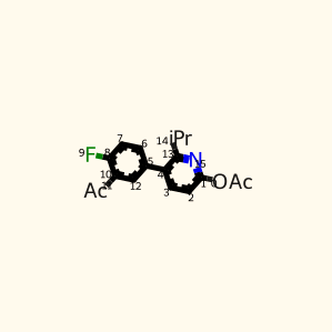 CC(=O)Oc1ccc(-c2ccc(F)c(C(C)=O)c2)c(C(C)C)n1